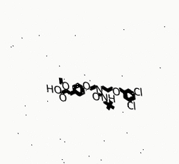 CCOC(Cc1ccc(OCCN(CCCOCc2cc(Cl)cc(Cl)c2)C(=O)NCC(C)(C)C)cc1)C(=O)O